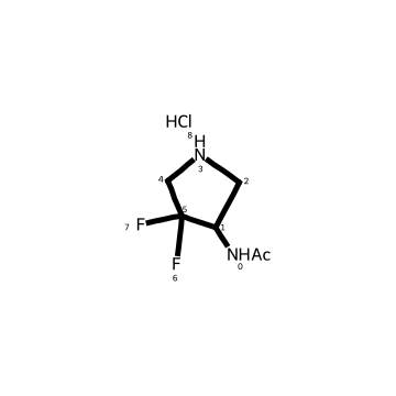 CC(=O)NC1CNCC1(F)F.Cl